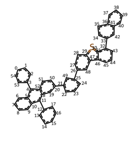 c1ccc(-c2c3ccccc3c(-c3ccccc3)c3cc(-c4cccc(-c5ccc6sc7c(-c8ccc9ccccc9c8)cccc7c6c5)c4)ccc23)cc1